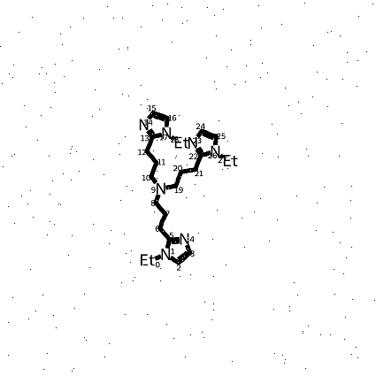 CCn1ccnc1CCCN(CCCc1nccn1CC)CCCc1nccn1CC